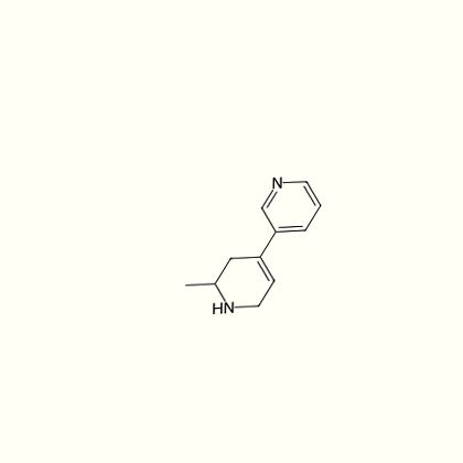 CC1CC(c2cccnc2)=CCN1